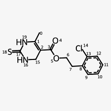 CC1=C(C(=O)OCCc2ccccc2Cl)CNC(=S)N1